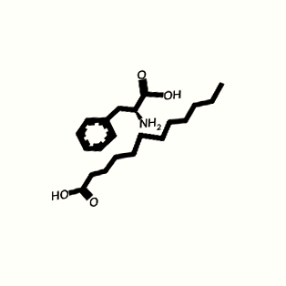 CCCCCCCCCCCC(=O)O.N[C@@H](Cc1ccccc1)C(=O)O